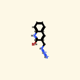 [N-]=[N+]=NCc1cc2ccccc2nc1Br